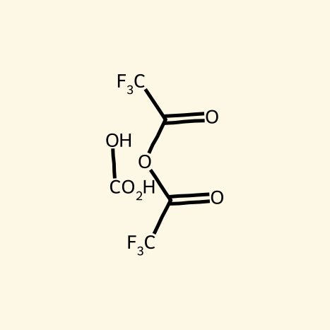 O=C(O)O.O=C(OC(=O)C(F)(F)F)C(F)(F)F